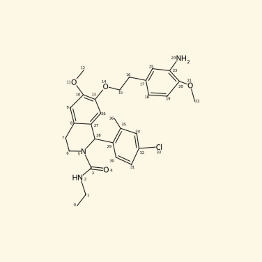 CCNC(=O)N1CCc2cc(OC)c(OCCc3ccc(OC)c(N)c3)cc2C1c1ccc(Cl)cc1C